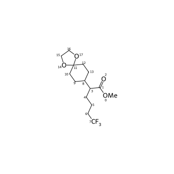 COC(=O)C(CCCC(F)(F)F)C1CCC2(CC1)OCCO2